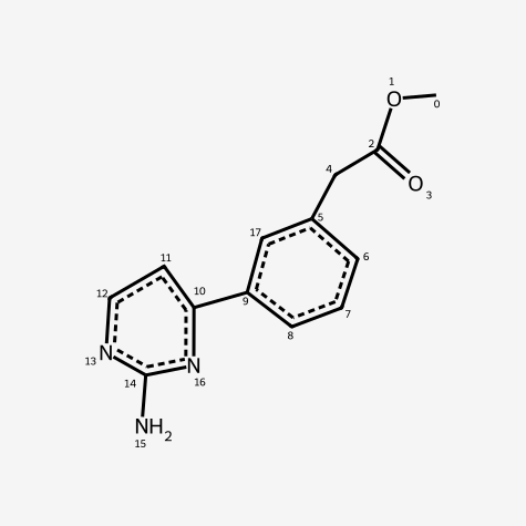 COC(=O)Cc1cccc(-c2ccnc(N)n2)c1